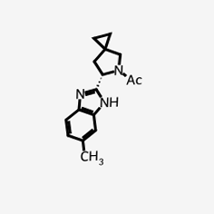 CC(=O)N1CC2(CC2)C[C@H]1c1nc2ccc(C)cc2[nH]1